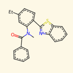 CCc1ccc(-c2nc3ccccc3s2)c(N(C)C(=O)c2ccccc2)c1